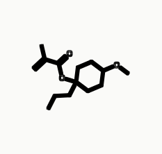 C=C(C)C(=O)OC1(CCC)CCC(OC)CC1